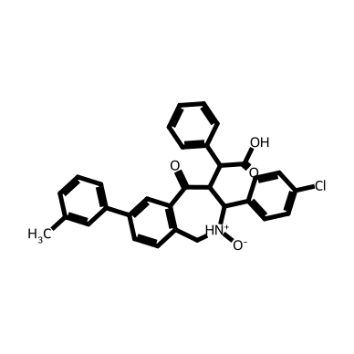 Cc1cccc(-c2ccc3c(c2)C(=O)C(C(C(=O)O)c2ccccc2)C(c2ccc(Cl)cc2)[NH+]([O-])C3)c1